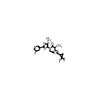 C#CCN(C(=O)C(C)CSCC1CC1(F)F)c1sc(-c2cncc(F)c2)nc1C